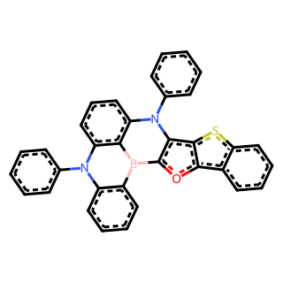 c1ccc(N2c3ccccc3B3c4oc5c(sc6ccccc65)c4N(c4ccccc4)c4cccc2c43)cc1